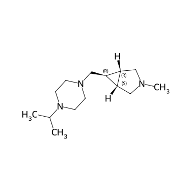 CC(C)N1CCN(C[C@H]2[C@@H]3CN(C)C[C@@H]32)CC1